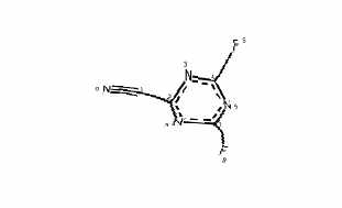 N#Cc1nc(F)nc(F)n1